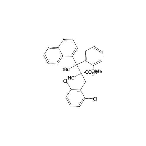 COc1ccccc1C(c1cccc2ccccc12)(C(C)(C)C)C(C#N)(Cc1c(Cl)cccc1Cl)C(=O)O